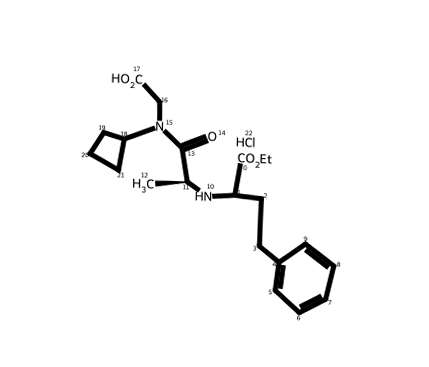 CCOC(=O)C(CCc1ccccc1)N[C@@H](C)C(=O)N(CC(=O)O)C1CCC1.Cl